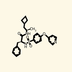 C[C@H](CC1CCC1)NC(=O)[C@H](Cc1ccccc1)NS(=O)(=O)c1ccc(Oc2ccncc2)cc1